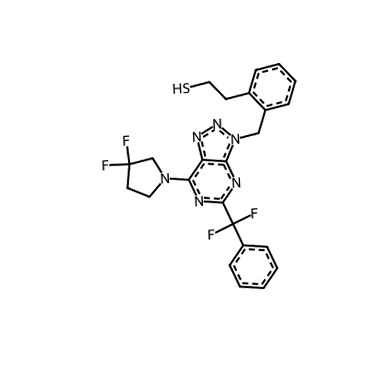 FC1(F)CCN(c2nc(C(F)(F)c3ccccc3)nc3c2nnn3Cc2ccccc2CCS)C1